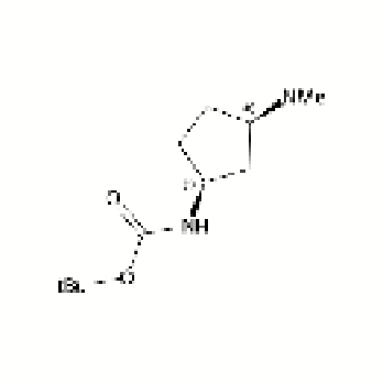 CN[C@@H]1CC[C@H](NC(=O)OC(C)(C)C)C1